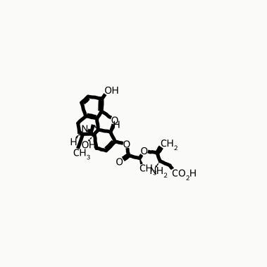 C=C(O[C@@H](C)C(=O)OC1=CC[C@@]2(O)[C@H]3Cc4ccc(O)c5c4[C@@]2(CCN3C)[C@H]1O5)[C@@H](N)CC(=O)O